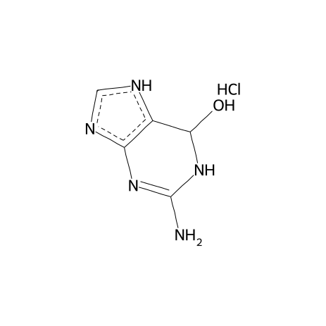 Cl.NC1=Nc2nc[nH]c2C(O)N1